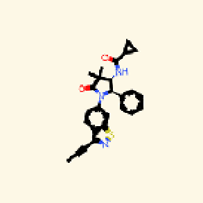 CC#Cc1nsc2cc(N3C(=O)C(C)(C)[C@H](NC(=O)C4CC4)[C@H]3c3ccccc3)ccc12